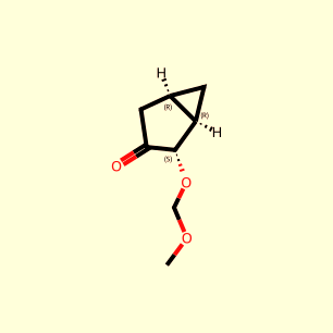 COCO[C@@H]1C(=O)C[C@H]2C[C@H]21